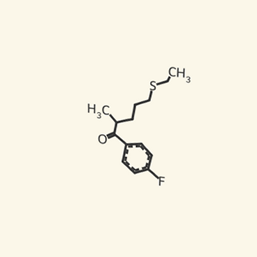 CCSCCCC(C)C(=O)c1ccc(F)cc1